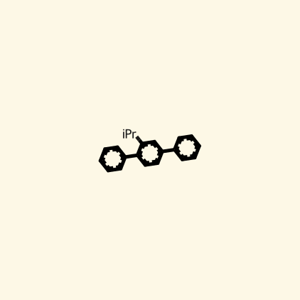 CC(C)c1cc(-c2ccccc2)ccc1-c1ccccc1